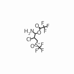 NC(OC(=O)C(F)(F)F)C(Cl)C[S+]([O-])C(F)(F)F